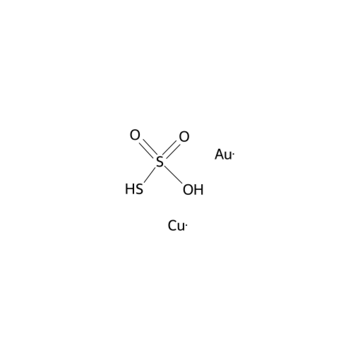 O=S(=O)(O)S.[Au].[Cu]